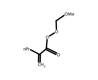 C=C(CCC)C(=O)OOCOC